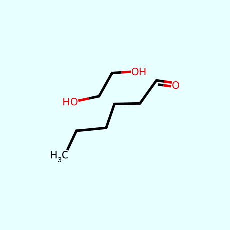 CCCCCC=O.OCCO